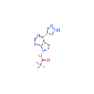 CC(C)(C)C(=O)On1ccc2c(-c3cn[nH]c3)ncnc21